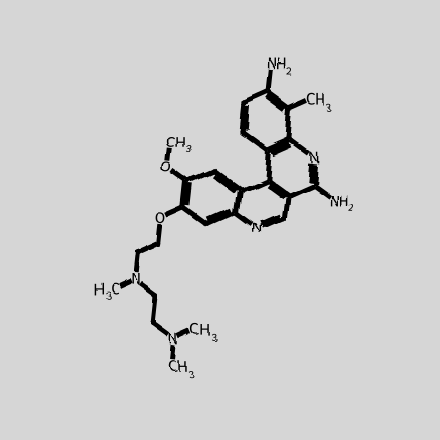 COc1cc2c(cc1OCCN(C)CCN(C)C)ncc1c(N)nc3c(C)c(N)ccc3c12